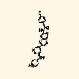 O=C(Nc1cc2nc(-c3cncc(NC4CCNCC4)c3)ccc2cn1)c1ccc(F)cc1